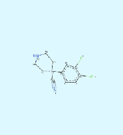 N#CC1(c2ccc(F)c(F)c2)CCNCC1